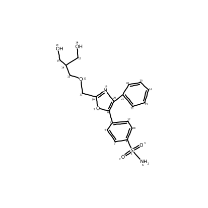 NS(=O)(=O)c1ccc(-c2oc(COCC(CO)CO)nc2-c2ccccc2)cc1